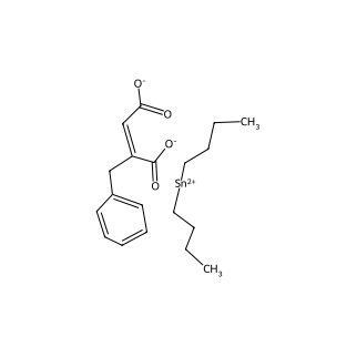 CCC[CH2][Sn+2][CH2]CCC.O=C([O-])C=C(Cc1ccccc1)C(=O)[O-]